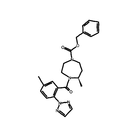 Cc1ccc(-n2nccn2)c(C(=O)N2CCN(C(=O)OCc3ccccc3)CC[C@H]2C)c1